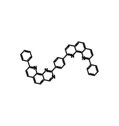 c1ccc(-c2ccc3ccc4ccc(-c5ccc(-c6ncc7ccc8ccc(-c9ccccc9)nc8c7n6)cc5)nc4c3n2)cc1